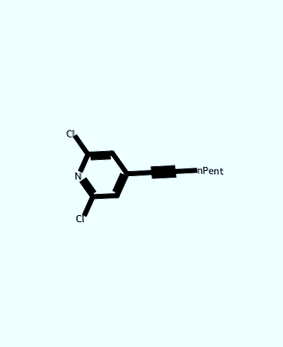 CCCCCC#Cc1cc(Cl)nc(Cl)c1